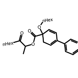 CCCCCCOC1(C(=O)OC(C)C(=O)CCCCCC)C=CC(c2ccccc2)=CC1